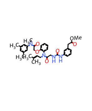 COC(=O)Cc1cccc(NC(=O)NCC(=O)N(CC=C(C)C)c2ccccc2OCC(=O)N(C)c2cc(C)cc(C)c2)c1